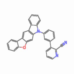 N#Cc1ncccc1-c1cccc(-n2c3ccccc3c3cc4c(cc32)oc2ccccc24)c1